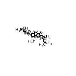 CC(C)CCC[C@@H](C)[C@H]1CCC2C3CC=C4C[C@@H](OC(=O)NCCN(C)C)CC[C@]4(C)C3CC[C@@]21C.Cl